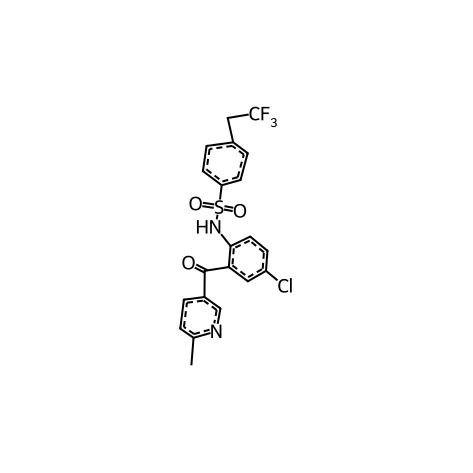 Cc1ccc(C(=O)c2cc(Cl)ccc2NS(=O)(=O)c2ccc(CC(F)(F)F)cc2)cn1